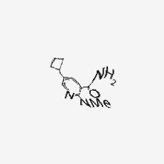 CNc1ncc(C2CCC2)cc1C(N)=O